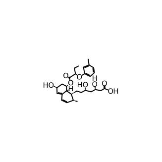 CCC(Oc1cccc(C)c1)C(=O)O[C@H]1C[C@H](O)C=C2C=C[C@H](C)[C@H](CC[C@@H](O)C[C@@H](O)CC(=O)O)[C@H]21